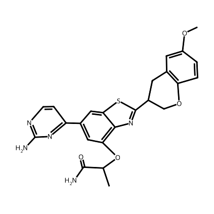 COc1ccc2c(c1)CC(c1nc3c(OC(C)C(N)=O)cc(-c4ccnc(N)n4)cc3s1)CO2